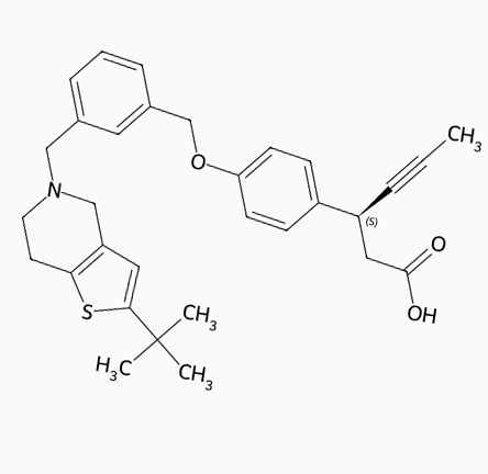 CC#C[C@@H](CC(=O)O)c1ccc(OCc2cccc(CN3CCc4sc(C(C)(C)C)cc4C3)c2)cc1